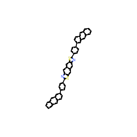 c1ccc2cc3cc(-c4ccc(-c5nc6cc7cc8sc(-c9ccc(-c%10ccc%11cc%12ccccc%12cc%11c%10)cc9)nc8cc7cc6s5)cc4)ccc3cc2c1